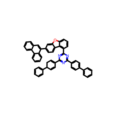 C1=CC(c2ccccc2)CC=C1c1nc(-c2ccc(-c3ccccc3)cc2)nc(-c2cccc3oc4cc(-c5cc6ccccc6c6ccccc56)ccc4c23)n1